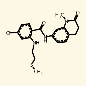 CSCCNc1cc(Cl)ccc1C(=O)Nc1ccc2c(c1)N(C)C(=O)CC2